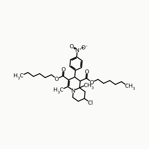 CCCCCCOC(=O)C1=C(C)N2CCC(Cl)CC2(C)C(C(=O)OCCCCCC)C1c1ccc([N+](=O)[O-])cc1